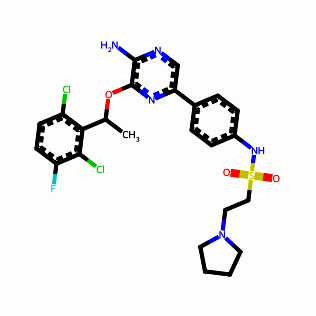 CC(Oc1nc(-c2ccc(NS(=O)(=O)CCN3CCCC3)cc2)cnc1N)c1c(Cl)ccc(F)c1Cl